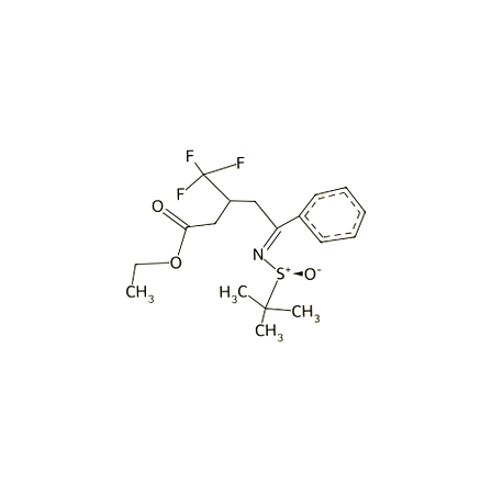 CCOC(=O)CC(CC(=N[S@@+]([O-])C(C)(C)C)c1ccccc1)C(F)(F)F